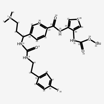 CN(C)CCC(NC(=O)NCCc1ccc(F)cc1)c1ccc(C(=O)Nc2cscc2NC(=O)OC(C)(C)C)nc1